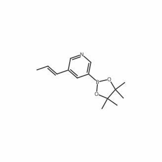 C/C=C/c1cncc(B2OC(C)(C)C(C)(C)O2)c1